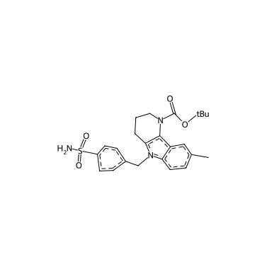 Cc1ccc2c(c1)c1c(n2Cc2ccc(S(N)(=O)=O)cc2)CCCN1C(=O)OC(C)(C)C